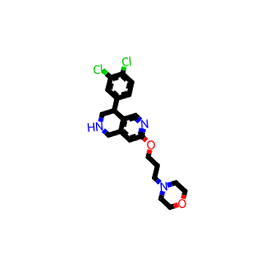 Clc1ccc(C2CNCc3cc(OCCCN4CCOCC4)ncc32)cc1Cl